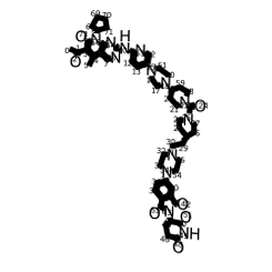 CC(=O)c1c(C)c2cnc(Nc3ccc(N4CCN(C5CCN(C(=O)N6CCC(CCN7CCN(c8ccc9c(c8)C(=O)N(C8CCC(=O)NC8=O)C9=O)CC7)CC6)CC5)CC4)cn3)nc2n(C2CCCC2)c1=O